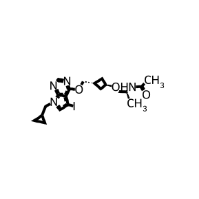 CC(=O)N[C@@H](C)CO[C@H]1C[C@H](COc2ncnc3c2c(I)cn3CC2CC2)C1